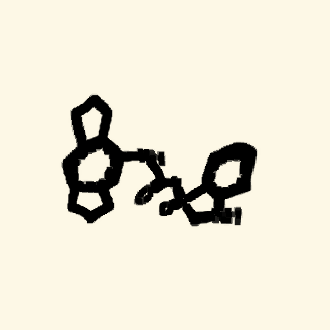 O=C(N=S1(=O)CNc2ccccc21)Nc1c2c(cc3c1CCC3)CCC2